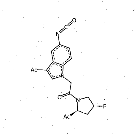 CC(=O)c1cn(CC(=O)N2C[C@H](F)C[C@H]2C(C)=O)c2ccc(N=C=O)cc12